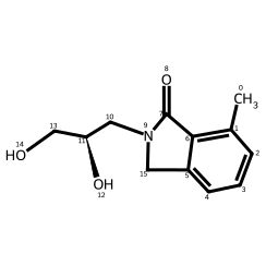 Cc1cccc2c1C(=O)N(C[C@@H](O)CO)C2